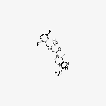 CC1c2nnc(C(F)(F)F)n2CCN1C(=O)C[C@H](N)Cc1cc(F)ccc1F